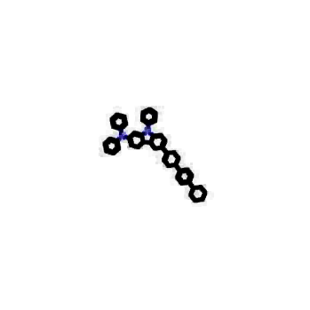 C1=C(C2=CC=C3C(C2)C2CC=C(N(c4ccccc4)c4ccccc4)C=C2N3c2ccccc2)CCC(c2ccc(C3CCCCC3)cc2)C1